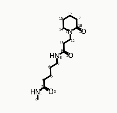 CNC(=O)CCCCNC(=O)CCN1CCCCC1=O